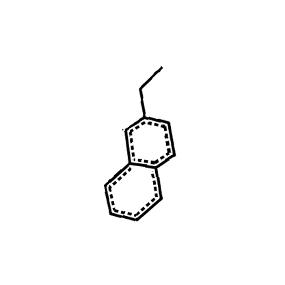 CCc1[c]c2ccccc2cc1